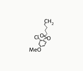 C=CCCCS(=O)(=O)c1ccc(OC)cc1Cl